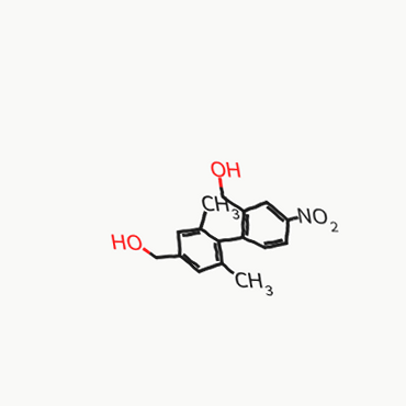 Cc1cc(CO)cc(C)c1-c1ccc([N+](=O)[O-])cc1CO